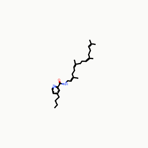 CCCCc1ccnc(C(=O)NCC=C(C)CCC=C(C)CCC=C(C)CCC=C(C)C)c1